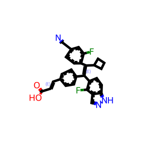 N#Cc1ccc(/C(=C(\c2ccc(/C=C/C(=O)O)cc2)c2ccc3[nH]ncc3c2F)C2CCC2)c(F)c1